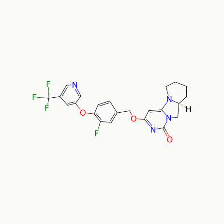 O=c1nc(OCc2ccc(Oc3cncc(C(F)(F)F)c3)c(F)c2)cc2n1C[C@@H]1CCCCN21